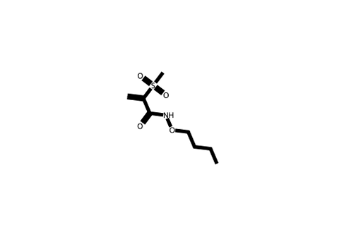 C=C(C(=O)NOCCCC)S(C)(=O)=O